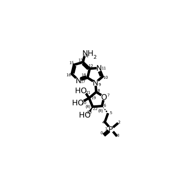 C=P(C)(C)CC[C@H]1OC(n2cnc3c(N)ccnc32)C(O)(O)[C@@H]1O